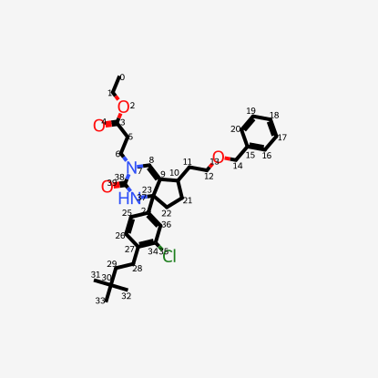 CCOC(=O)CCN1C=C2C(CCOCc3ccccc3)CCC2(c2ccc(CCC(C)(C)C)c(Cl)c2)NC1=O